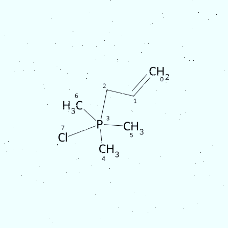 C=CCP(C)(C)(C)Cl